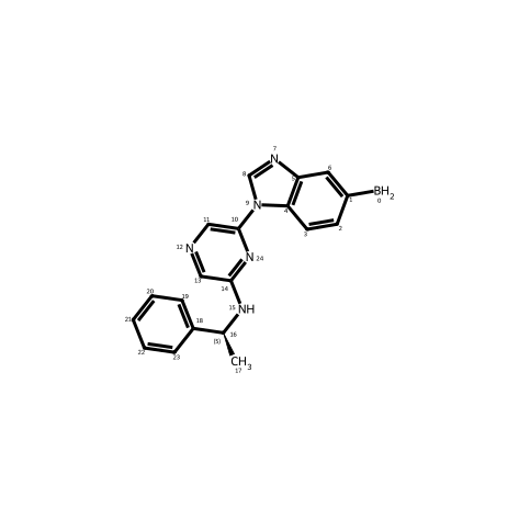 Bc1ccc2c(c1)ncn2-c1cncc(N[C@@H](C)c2ccccc2)n1